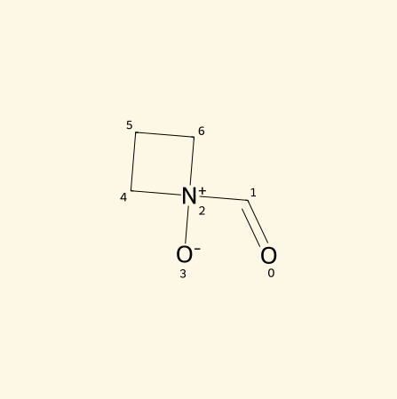 O=C[N+]1([O-])CCC1